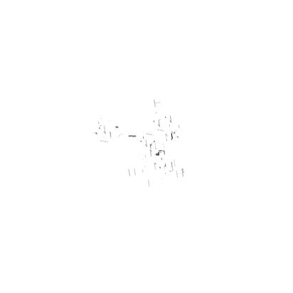 Cc1nc(-c2cc(C#Cc3ccc4c(ccc(=O)n4C)c3)nc(NC(=O)C(C)N(CC(C)(C)C)C(=O)O)c2)c2c(n1)c(C)nn2C